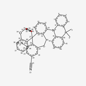 CC1(C)c2ccccc2N(c2cccc3c2CCc2cc(C#N)cc(N)c2C32c3ccccc3Oc3ccccc32)c2ccccc21